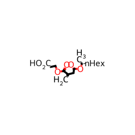 C=C(CC(=O)O[C@H](C)CCCCCC)C(=O)OCCC(=O)O